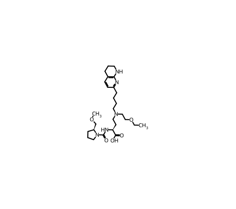 CCOCCN(CCCCc1ccc2c(n1)NCCC2)CC[C@H](NC(=O)N1CCC[C@H]1COC)C(=O)O